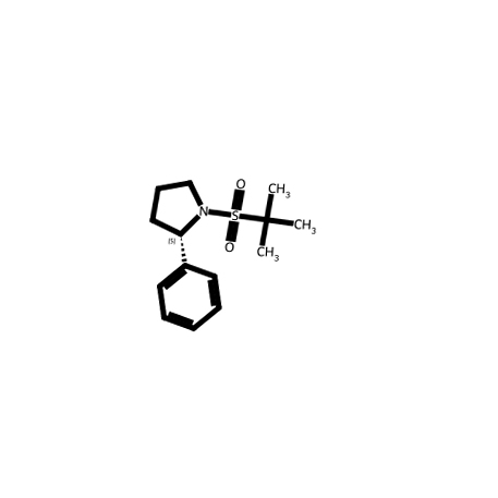 CC(C)(C)S(=O)(=O)N1CCC[C@H]1c1ccccc1